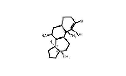 C[C@]12C(O)=C(O)CCC1C[C@H](N)C1=C2CC[C@]2(C)CCC[C@@H]12